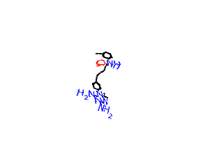 Cc1cccc(NC(=O)CCc2ccc(N3C(N)=NC(N)=NC3(C)C)cc2)c1